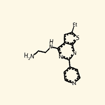 CCc1cc2c(NCCN)nc(-c3ccncc3)nc2s1